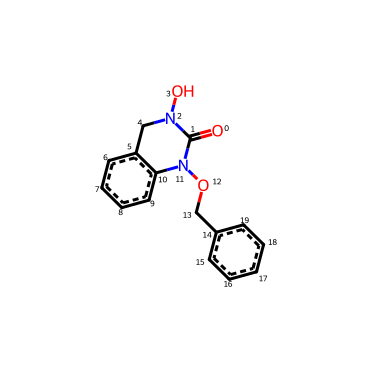 O=C1N(O)Cc2ccccc2N1OCc1ccccc1